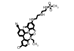 CCN1C(=O)N(c2c(F)cc(NCCNCCNS(C)(=O)=O)cc2F)c2cc(C#N)ccc2-c2cc(Cl)cnc21